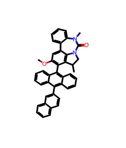 COc1cc2c3c(c1-c1c4ccccc4c(-c4ccc5ccccc5c4)c4ccccc14)C(C)CN3C(=O)N(C)c1ccccc1-2